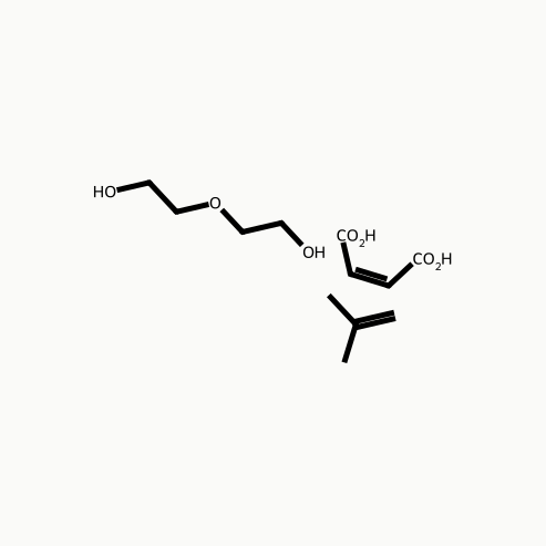 C=C(C)C.O=C(O)/C=C\C(=O)O.OCCOCCO